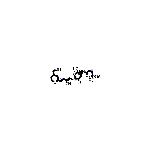 CC(=O)O[C@@H](C)/C=C\C(=O)N[C@@H]1C[C@H](C)[C@H](C/C=C(C)/C=C/C2CC(CO)CCO2)O[C@@H]1C